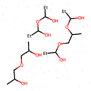 CC(O)COCC(C)O.CCC(O)OC(O)CC.CCC(O)OCC(C)OC(O)CC